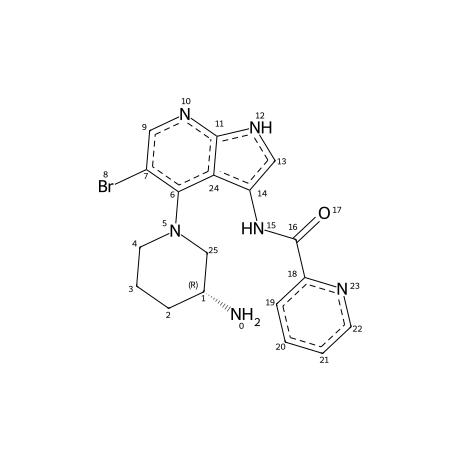 N[C@@H]1CCCN(c2c(Br)cnc3[nH]cc(NC(=O)c4ccccn4)c23)C1